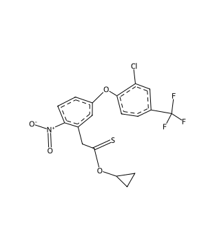 O=[N+]([O-])c1ccc(Oc2ccc(C(F)(F)F)cc2Cl)cc1CC(=S)OC1CC1